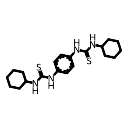 S=C(Nc1ccc(NC(=S)NC2CCCCC2)cc1)NC1CCCCC1